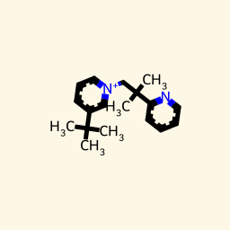 CC(C)(C)c1ccc[n+](CC(C)(C)c2ccccn2)c1